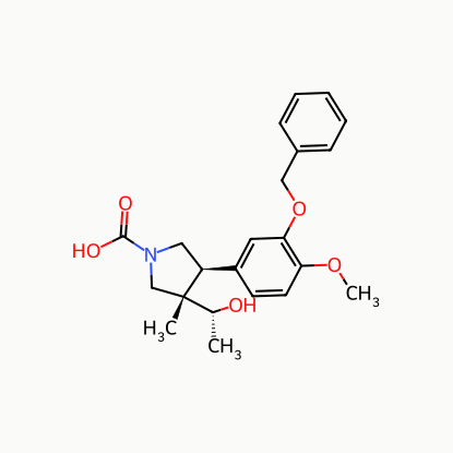 COc1ccc([C@@H]2CN(C(=O)O)C[C@@]2(C)[C@@H](C)O)cc1OCc1ccccc1